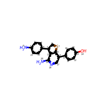 Nc1ccc(-c2csc3c(-c4ccc(O)cc4)cnc(N)c23)cc1